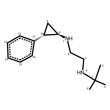 CC(C)(C)NCCN[C@@H]1C[C@H]1c1ccccc1